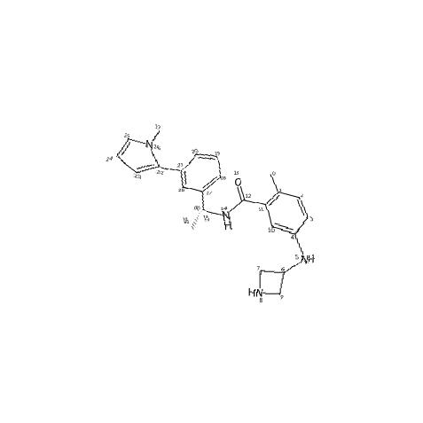 Cc1ccc(NC2CNC2)cc1C(=O)N[C@H](C)c1cccc(-c2cccn2C)c1